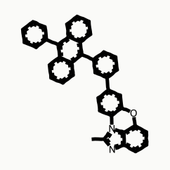 Cc1nc2cccc3c2n1-c1ccc(-c2cccc(-c4c5ccccc5c(-c5ccccc5)c5ccccc45)c2)cc1O3